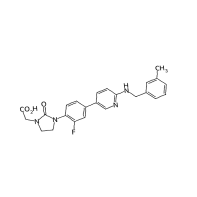 Cc1cccc(CNc2ccc(-c3ccc(N4CCN(CC(=O)O)C4=O)c(F)c3)cn2)c1